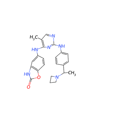 Cc1cnc(Nc2ccc(C(C)N3CCC3)cc2)nc1Nc1ccc2oc(=O)[nH]c2c1